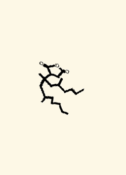 CCCCCC(C)CC(C)(CC(C)CCCC)C1CC(=O)OC1=O